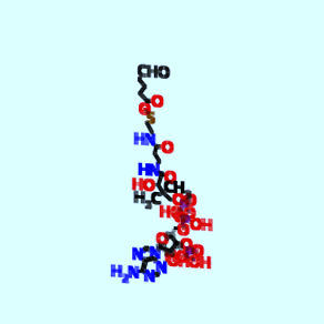 CC(C)(COP(=O)(O)OP(=O)(O)OC[C@H]1O[C@@H](n2cnc3c(N)ncnc32)[C@H](O)[C@@H]1OP(=O)(O)O)C(O)C(=O)NCCC(=O)NCCSOC(=O)CCCC=O